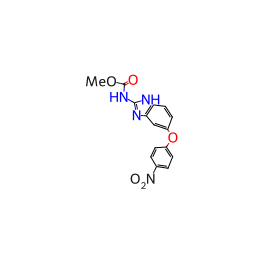 COC(=O)Nc1nc2cc(Oc3ccc([N+](=O)[O-])cc3)ccc2[nH]1